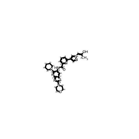 C/C(O)=C\n1cc(-c2cccc(C(=O)Nc3cc4sc(N5CCOCC5)nc4nc3N3CCCCC3)n2)cn1